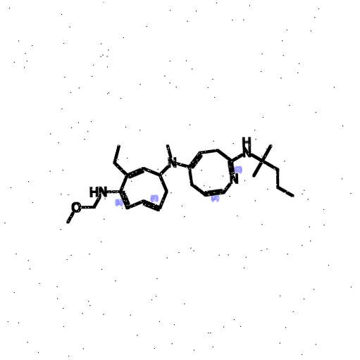 CCCC(C)(C)N/C1=N/C=C\CC(N(C)C2C=C(CC)/C(NCOC)=C\C=C\C2)=CC1